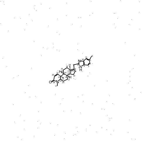 Cc1ccc2[nH]c(CC3CC[C@H]4[C@@H]5CCC6N(C)C(=O)C=C[C@]6(C)[C@@H]5CC[C@]34C)nc2c1